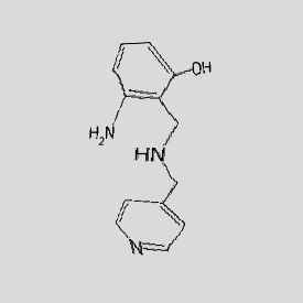 Nc1cccc(O)c1CNCc1ccncc1